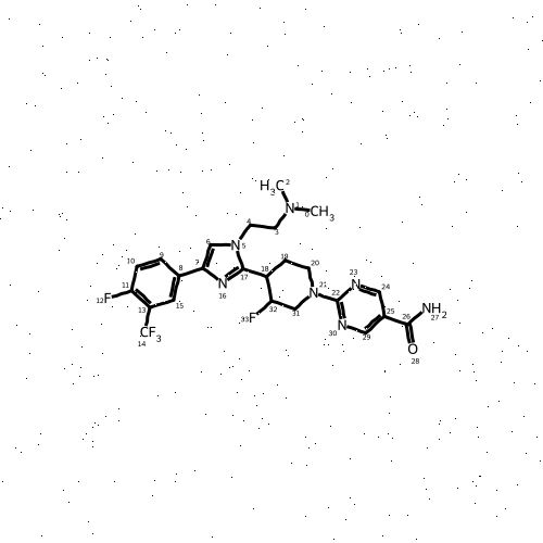 CN(C)CCn1cc(-c2ccc(F)c(C(F)(F)F)c2)nc1C1CCN(c2ncc(C(N)=O)cn2)CC1F